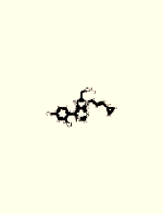 CCc1nc2c(-c3ccc(Cl)cc3Cl)ncnc2n1CC=CC1CC1